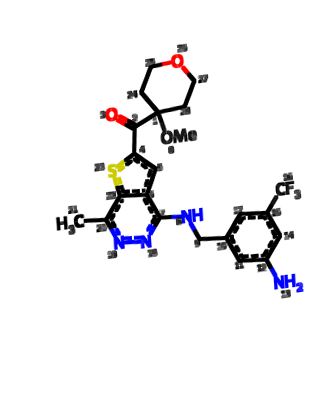 COC1(C(=O)c2cc3c(NCc4cc(N)cc(C(F)(F)F)c4)nnc(C)c3s2)CCOCC1